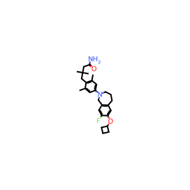 Cc1cc(N2CCCc3cc(OC4CCC4)c(F)cc3C2)cc(C)c1CC(C)(C)CC(N)=O